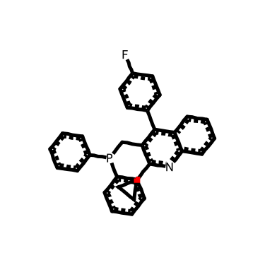 Fc1ccc(-c2c(CP(c3ccccc3)c3ccccc3)c(C3CC3)nc3ccccc23)cc1